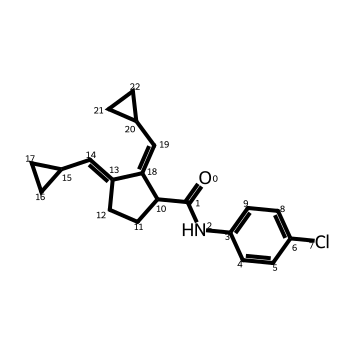 O=C(Nc1ccc(Cl)cc1)C1CCC(=C\C2CC2)/C1=C\C1CC1